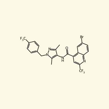 Cc1nn(Cc2ccc(C(F)(F)F)cc2)c(C)c1NC(=O)c1cc(C(F)(F)F)nc2ccc(Br)cc12